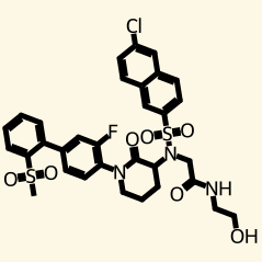 CS(=O)(=O)c1ccccc1-c1ccc(N2CCCC(N(CC(=O)NCCO)S(=O)(=O)c3ccc4cc(Cl)ccc4c3)C2=O)c(F)c1